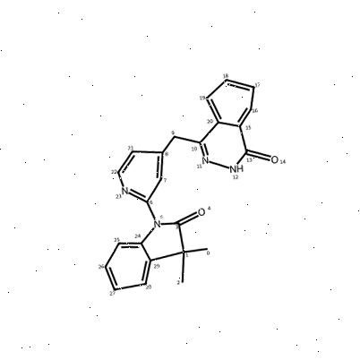 CC1(C)C(=O)N(c2cc(Cc3n[nH]c(=O)c4ccccc34)ccn2)c2ccccc21